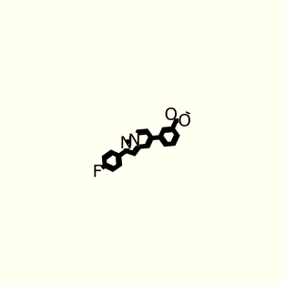 COC(=O)c1cccc(-c2ccn3nc(-c4ccc(F)cc4)cc3c2)c1